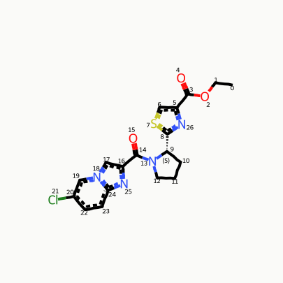 CCOC(=O)c1csc([C@@H]2CCCN2C(=O)c2cn3cc(Cl)ccc3n2)n1